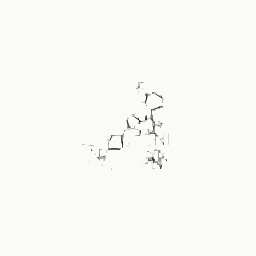 CCN(C)C(=O)c1ccc(-c2ccc([C@@H](c3cccc(F)c3)[C@@H](C)C(=O)Nc3nnc(C)s3)s2)cc1